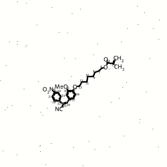 C=C(C)C(=O)OCCCCCCCCOc1ccc(C=C(C#N)c2ccc([N+](=O)[O-])cc2)cc1OC